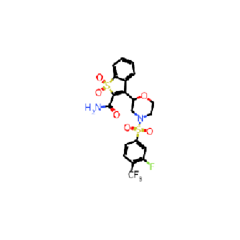 NC(=O)C1=C(C2CN(S(=O)(=O)c3ccc(C(F)(F)F)c(F)c3)CCO2)c2ccccc2S1(=O)=O